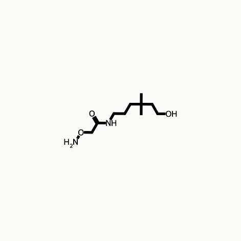 CC(C)(CCO)CCCNC(=O)CON